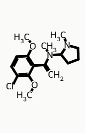 C=C(c1c(OC)ccc(Cl)c1OC)N(C)C1CCCN1C